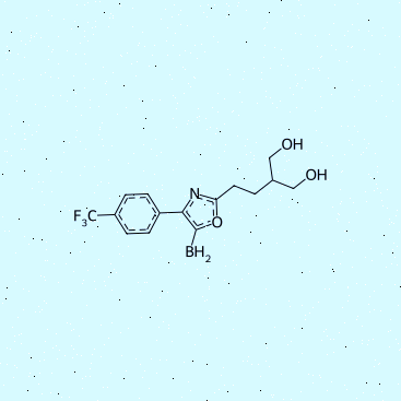 Bc1oc(CCC(CO)CO)nc1-c1ccc(C(F)(F)F)cc1